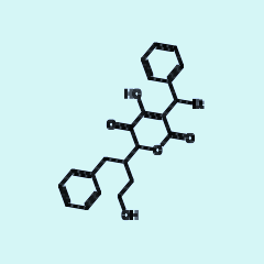 CCC(C1=C(O)C(=O)C(C(CCO)Cc2ccccc2)OC1=O)c1ccccc1